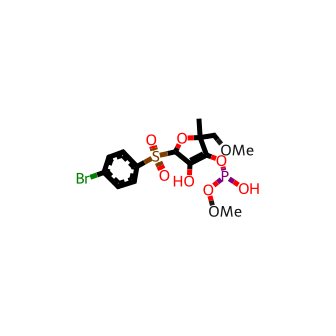 COCC1(C)OC(S(=O)(=O)c2ccc(Br)cc2)C(O)=C1OP(O)OOC